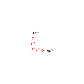 [Nb+5].[O-2].[O-2].[O-2].[O-2].[O-2].[Ta+5]